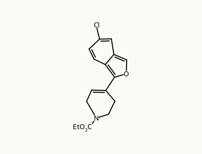 CCOC(=O)N1CC=C(c2occ3cc(Cl)ccc23)CC1